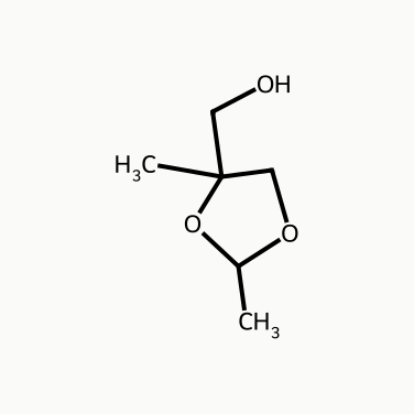 CC1OCC(C)(CO)O1